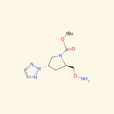 CC(C)(C)OC(=O)N1C[C@@H](n2nccn2)C[C@@H]1CON